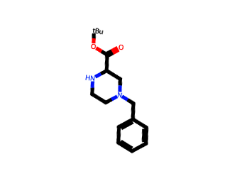 CC(C)(C)OC(=O)C1CN(Cc2ccccc2)CCN1